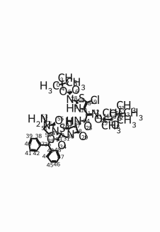 CC(C)(C)OC(=O)Nc1nc(/C(=N/OC(C)(C)C(=O)OC(C)(C)C)C(=O)N[C@@H]2C(=O)N3C[C@@](C(=O)OC(c4ccccc4)c4ccccc4)(N4CCN(N)C4=O)S[C@H]23)c(Cl)s1